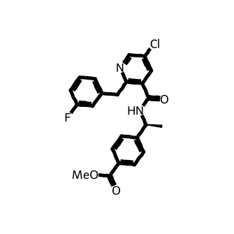 COC(=O)c1ccc([C@H](C)NC(=O)c2cc(Cl)cnc2Cc2cccc(F)c2)cc1